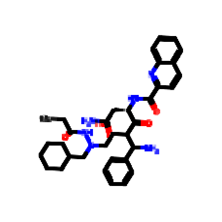 CC(C)(C)CC(=O)NN(CC1CCCCC1)C[C@H](O)C(C(=O)[C@H](CC(N)=O)NC(=O)c1ccc2ccccc2n1)C(N)c1ccccc1